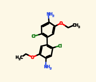 CCOc1cc(-c2cc(OCC)c(N)cc2Cl)c(Cl)cc1N